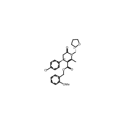 COc1ccccc1COC(=O)C1=C(C)N(C[C@@H]2CCCO2)C(=O)C[C@@H]1c1ccc(Cl)cc1